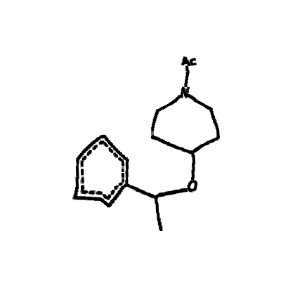 CC(=O)N1CCC(OC(C)c2ccccc2)CC1